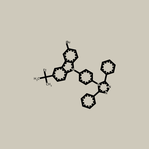 CCC(C)c1ccc2c(c1)c1cc(C(C)(C)CC)ccc1n2-c1ccc(-n2c(-c3ccccc3)nnc2-c2ccccc2)cc1